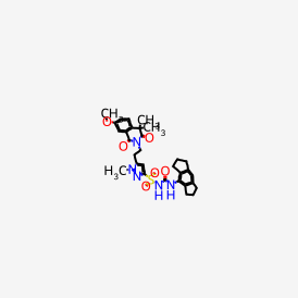 COc1ccc2c(c1)C(=O)N(CCc1cc(S(=O)(=O)NC(=O)Nc3c4c(cc5c3CCC5)CCC4)nn1C)C(=O)C2(C)C